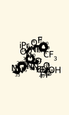 CC(C)[C@@H](NC(=O)c1cc(C(F)(F)F)ccc1F)C(=O)N1CCC2(CC1)C(=O)N(C)CN2c1ccc2nccn2c1.O=C(O)C(F)(F)F